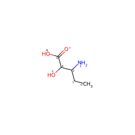 CCC(N)C(O)C(=O)O